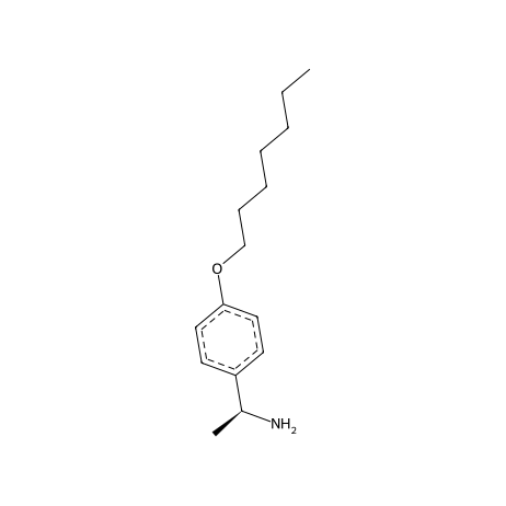 CCCCCCCOc1ccc([C@H](C)N)cc1